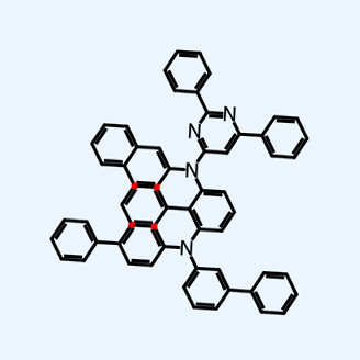 c1ccc(-c2ccc(N(c3cccc(-c4ccccc4)c3)c3cccc(N(c4ccc5ccccc5c4)c4cc(-c5ccccc5)nc(-c5ccccc5)n4)c3-c3ccccc3)cc2)cc1